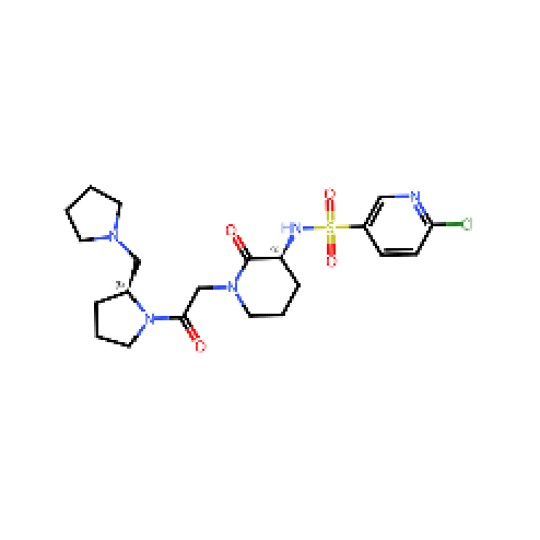 O=C1[C@@H](NS(=O)(=O)c2ccc(Cl)nc2)CCCN1CC(=O)N1CCC[C@H]1CN1CCCC1